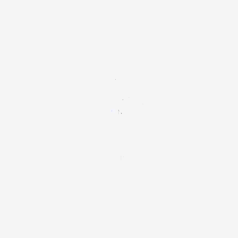 Bc1cccc(/C=N/C23CC4CC(CC(C4)C2)C3)c1